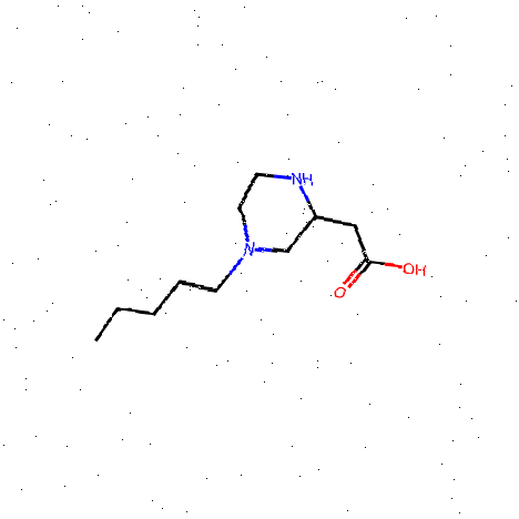 CCCCCN1CCNC(CC(=O)O)C1